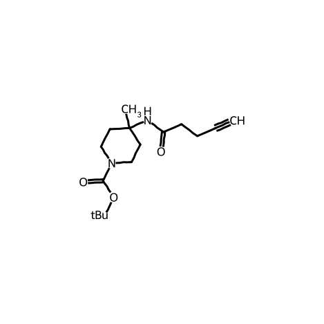 C#CCCC(=O)NC1(C)CCN(C(=O)OC(C)(C)C)CC1